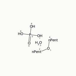 CCCCCOCCCCC.O.O=P(O)(O)O